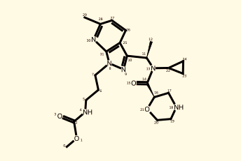 COC(=O)NCCCn1nc([C@@H](C)N(C(=O)[C@H]2CNCCO2)C2CC2)c2ccc(C)nc21